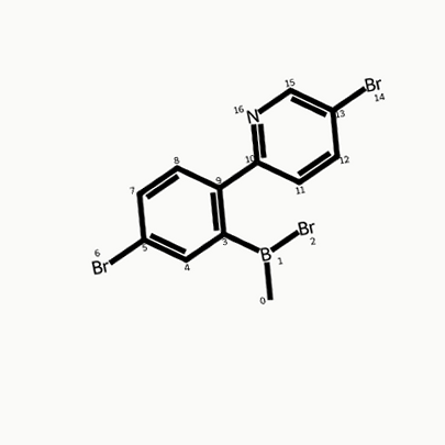 CB(Br)c1cc(Br)ccc1-c1ccc(Br)cn1